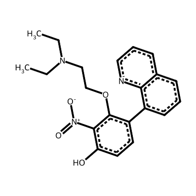 CCN(CC)CCOc1c(-c2cccc3cccnc23)ccc(O)c1[N+](=O)[O-]